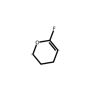 FC1=[C]CC[C]O1